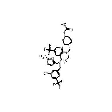 CCN(C[C@H]1CC[C@H](CC(=O)O)CC1)c1ncc(C(F)(F)F)cc1CN(Cc1cc(Cl)cc(C(F)(F)F)c1)c1ccn(C)n1